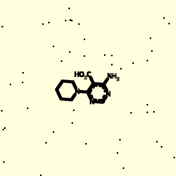 Nc1n[c]nc(N2CCCCC2)c1C(=O)O